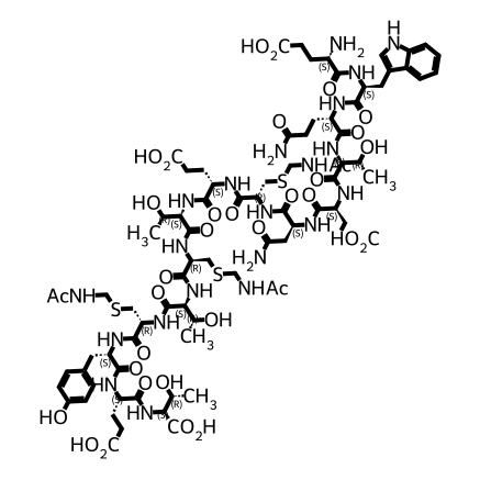 CC(=O)NCSC[C@H](NC(=O)[C@H](CC(N)=O)NC(=O)[C@H](CC(=O)O)NC(=O)[C@@H](NC(=O)[C@H](CCC(N)=O)NC(=O)[C@H](Cc1c[nH]c2ccccc12)NC(=O)[C@@H](N)CCC(=O)O)[C@@H](C)O)C(=O)N[C@@H](CCC(=O)O)C(=O)N[C@H](C(=O)N[C@@H](CSCNC(C)=O)C(=O)N[C@H](C(=O)N[C@@H](CSCNC(C)=O)C(=O)N[C@@H](Cc1ccc(O)cc1)C(=O)N[C@@H](CCC(=O)O)C(=O)N[C@H](C(=O)O)[C@@H](C)O)[C@@H](C)O)[C@@H](C)O